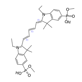 CCN1/C(=C/C=C/C=C/C2=[N+](CC)c3ccc(P(=O)(O)OC)cc3C2(C)C)C(C)(C)c2cc(P(=O)(O)OC)ccc21